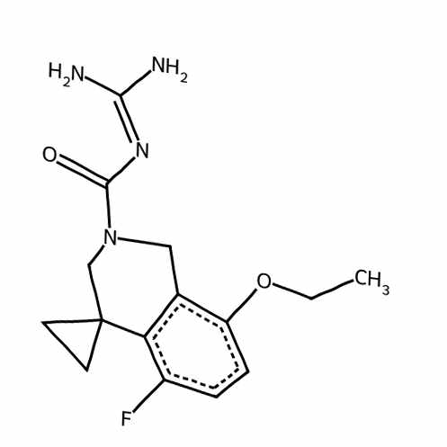 CCOc1ccc(F)c2c1CN(C(=O)N=C(N)N)CC21CC1